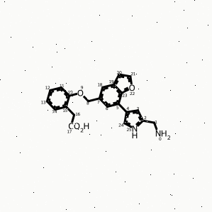 NCc1cc(-c2cc(COc3ccccc3CC(=O)O)cc3ccoc23)c[nH]1